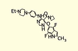 CCN1CCN(c2ccc(NC3=NCNC(Oc4cc(F)c5[nH]c(C)cc5c4F)=C3C(=O)N3CCC3)cc2)CC1